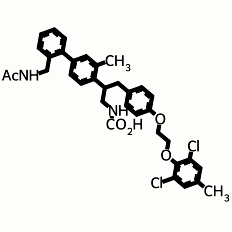 CC(=O)NCc1ccccc1-c1ccc(C(CNC(=O)O)Cc2ccc(OCCOc3c(Cl)cc(C)cc3Cl)cc2)c(C)c1